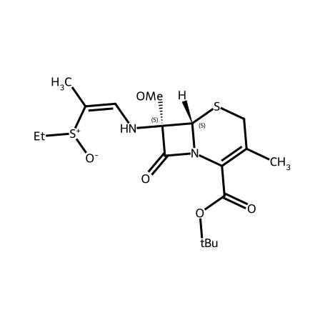 CC[S+]([O-])C(C)=CN[C@]1(OC)C(=O)N2C(C(=O)OC(C)(C)C)=C(C)CS[C@H]21